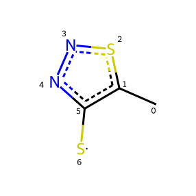 Cc1snnc1[S]